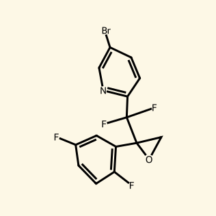 Fc1ccc(F)c(C2(C(F)(F)c3ccc(Br)cn3)CO2)c1